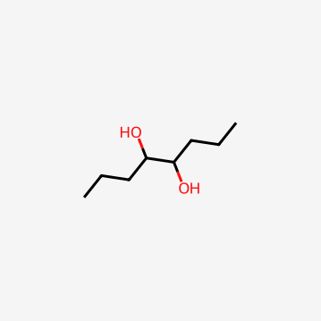 CCCC(O)C(O)CCC